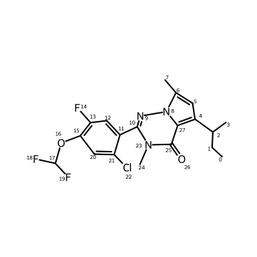 CCC(C)c1cc(C)n2nc(-c3cc(F)c(OC(F)F)cc3Cl)n(C)c(=O)c12